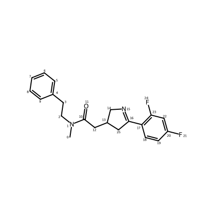 CN(CCc1ccccc1)C(=O)CC1CN=C(c2ccc(F)cc2F)C1